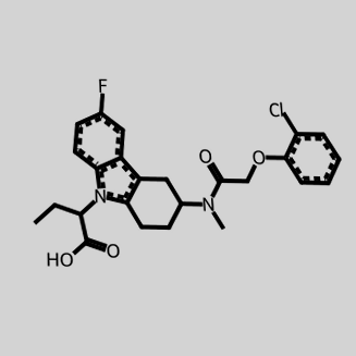 CCC(C(=O)O)n1c2c(c3cc(F)ccc31)CC(N(C)C(=O)COc1ccccc1Cl)CC2